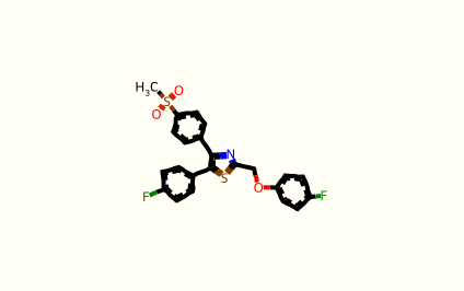 CS(=O)(=O)c1ccc(-c2nc(COc3ccc(F)cc3)sc2-c2ccc(F)cc2)cc1